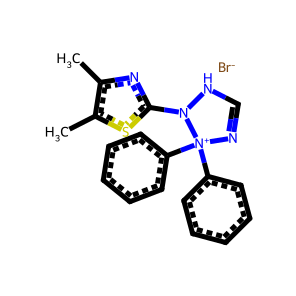 Cc1nc(N2NC=N[N+]2(c2ccccc2)c2ccccc2)sc1C.[Br-]